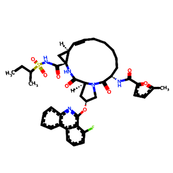 CCC(C)S(=O)(=O)NC(=O)[C@@]12C[C@H]1/C=C\CCCCC[C@H](NC(=O)c1ccc(C)o1)C(=O)N1C[C@H](Oc3nc4ccccc4c4cccc(F)c34)C[C@H]1C(=O)N2